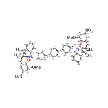 COc1cc([N+](=O)[O-])cc2c1OC1(C=C2)N(Cc2ccc(-c3ccc(-c4ccc(CN5c6ccccc6C(C)(C)C56C=Cc5cc([N+](=O)[O-])cc(OC)c5O6)cc4)cc3)cc2)c2ccccc2C1(C)C